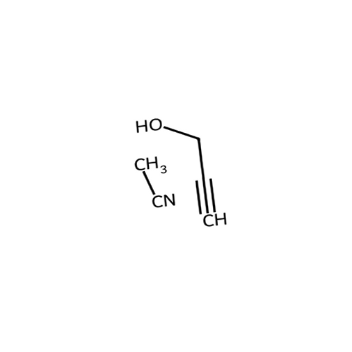 C#CCO.CC#N